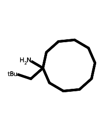 CC(C)(C)CC1(N)CCCCCCCCC1